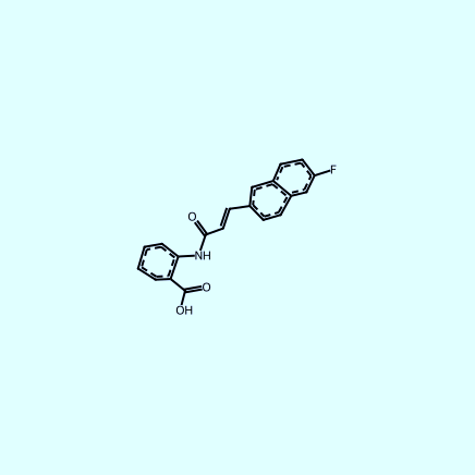 O=C(/C=C/c1ccc2cc(F)ccc2c1)Nc1ccccc1C(=O)O